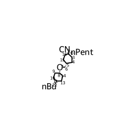 CCCCC[C@]1(C#N)CC[C@H](CO[C@H]2CC[C@H](CCCC)CC2)CC1